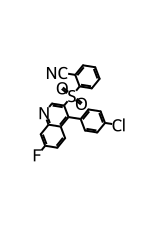 N#Cc1ccccc1S(=O)(=O)c1cnc2cc(F)ccc2c1-c1ccc(Cl)cc1